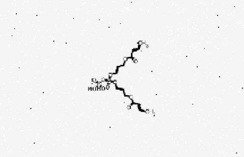 CC=CC(=O)OCCCOP(=O)(OCCCOC(=O)C=CC)OP(=O)(O)O